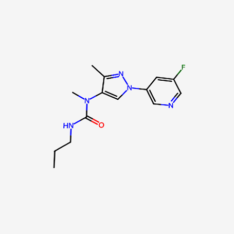 CCCNC(=O)N(C)c1cn(-c2cncc(F)c2)nc1C